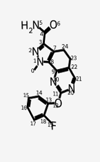 Cn1nc(C(N)=O)c2c1-c1nc(Oc3ccccc3F)ncc1CC2